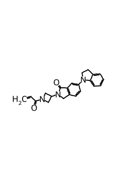 C=CC(=O)N1CC(N2Cc3ccc(N4CCc5ccccc54)cc3C2=O)C1